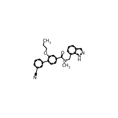 CCCOc1cc(C(=O)N(C)Cc2cccc3cn[nH]c23)ccc1-c1cccc(C#N)c1